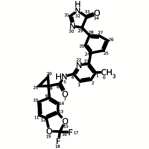 Cc1ccc(NC(=O)C2(c3ccc4c(c3)OC(F)(F)O4)CC2)nc1-c1cccc(C2N=CNC2=O)c1